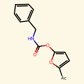 CC(=O)c1ccc(OC(=O)NCc2ccccc2)o1